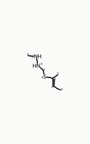 C/C=C(\C)SCNNC